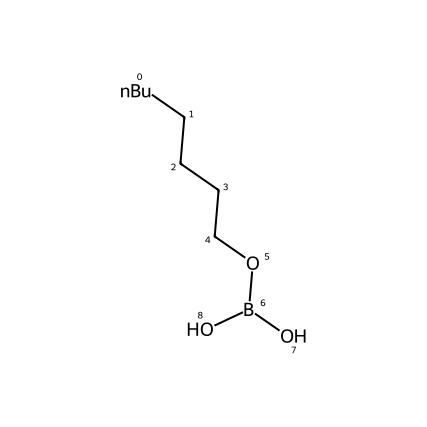 CCCCCCCCOB(O)O